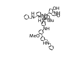 COc1ccc(Nc2ccc(CCN(C[C@H](O[Si](C)(C)C(C)(C)C)c3ccc(O)c4[nH]c(=O)ccc34)c3cccc(CNCc4ccccc4)c3)cc2)cc1-c1cccc(CNCc2ccccc2)c1